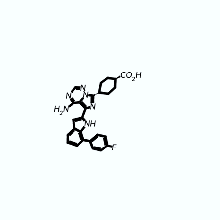 Nc1ncnn2c1c(-c1cc3cccc(-c4ccc(F)cc4)c3[nH]1)nc2[C@H]1CC[C@H](C(=O)O)CC1